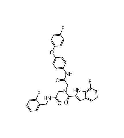 O=C(CN(CC(=O)Nc1ccc(Oc2ccc(F)cc2)cc1)C(=O)c1cc2cccc(F)c2[nH]1)NCc1ccccc1F